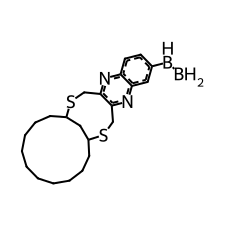 BBc1ccc2nc3c(nc2c1)CSC1CCCCCCCCCCC(C1)SC3